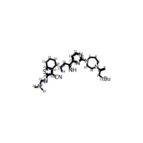 C=C(CC(C)(C)C)N1CCCN(c2nccc(C(=N)/C=C(\C)[C@H]3CCCc4sc(/N=C/N(C)C)c(C#N)c43)n2)CC1